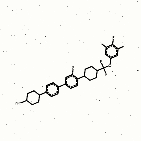 CCCC1CCC(c2ccc(-c3ccc(C4CCC(C(F)(F)Oc5cc(F)c(F)c(F)c5)CC4)c(F)c3)cc2)CC1